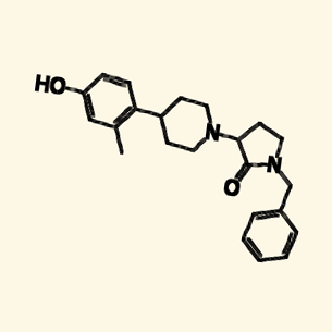 Cc1cc(O)ccc1C1CCN(C2CCN(Cc3ccccc3)C2=O)CC1